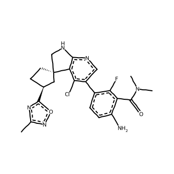 Cc1noc([C@H]2CC[C@@]3(CNc4ncc(-c5ccc(N)c(C(=O)N(C)C)c5F)c(Cl)c43)C2)n1